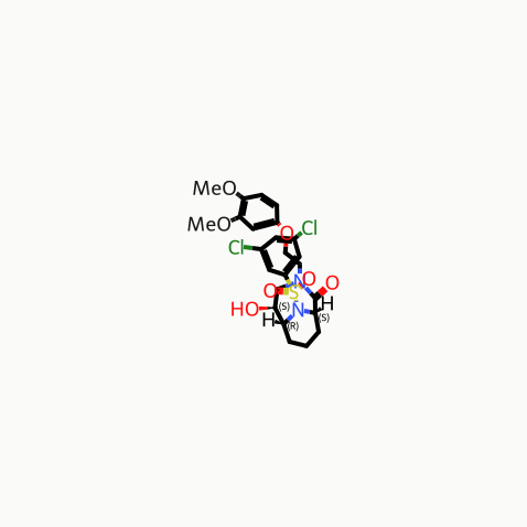 COc1ccc(OCCN2C[C@H](O)[C@H]3CCC[C@@H](C2=O)N3S(=O)(=O)c2cc(Cl)cc(Cl)c2)cc1OC